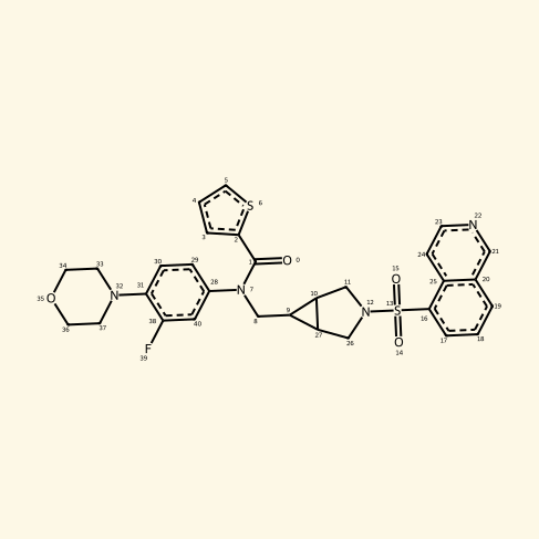 O=C(c1cccs1)N(CC1C2CN(S(=O)(=O)c3cccc4cnccc34)CC12)c1ccc(N2CCOCC2)c(F)c1